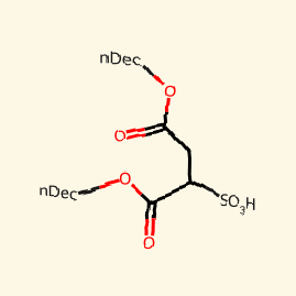 CCCCCCCCCCOC(=O)CC(C(=O)OCCCCCCCCCC)S(=O)(=O)O